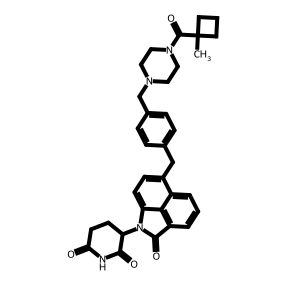 CC1(C(=O)N2CCN(Cc3ccc(Cc4ccc5c6c(cccc46)C(=O)N5C4CCC(=O)NC4=O)cc3)CC2)CCC1